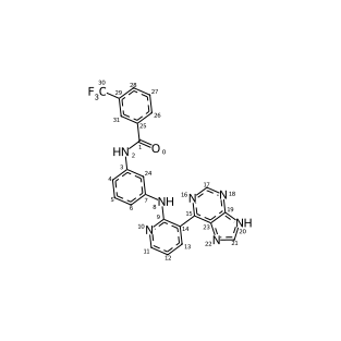 O=C(Nc1cccc(Nc2ncccc2-c2ncnc3[nH]cnc23)c1)c1cccc(C(F)(F)F)c1